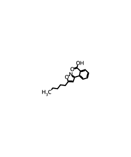 CCCCCc1cc(-c2ccccc2C(=O)O)no1